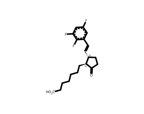 O=C(O)CCCCCC[C@@H]1C(=O)CC[C@H]1C=Cc1cc(F)cc(F)c1F